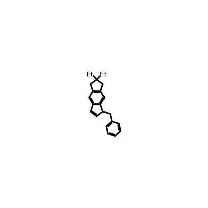 CCC1(CC)Cc2cc3c(cc2C1)[C](Cc1ccccc1)C=C3